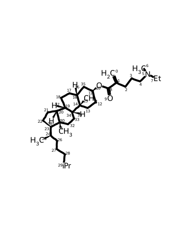 C=C(CCCN(C)CC)C(=O)O[C@H]1CC[C@@]2(C)[C@H](CC[C@H]3[C@H]4CC[C@H]([C@H](C)CCCC(C)C)[C@@]4(C)CC[C@H]32)C1